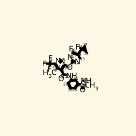 Cc1c(C(F)(F)F)nnc(Oc2ncc(C3(F)CC3)c(F)n2)c1C(=O)Nc1cccc(S(C)(=N)=O)c1